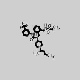 C=CS(=O)(=O)NCc1ccccc1CN(C(=O)Nc1cccc(C(F)(F)F)c1)C1CCN(C(C)CCC)CC1